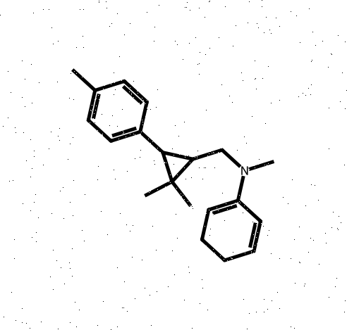 Cc1ccc(C2C(CN(C)C3=CCCC=C3)C2(C)C)cc1